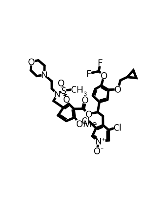 COc1ccc(CN(CCN2CCOCC2)S(C)(=O)=O)cc1C(=O)OC(Cc1c(Cl)c[n+]([O-])cc1Cl)c1ccc(OC(F)F)c(OCC2CC2)c1